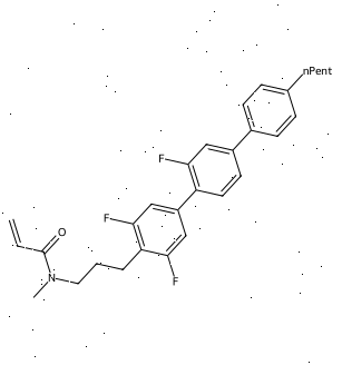 C=CC(=O)N(C)CCCc1c(F)cc(-c2ccc(-c3ccc(CCCCC)cc3)cc2F)cc1F